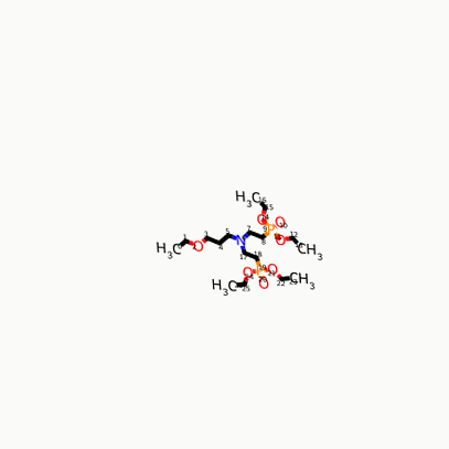 CCOCCCN(CCP(=O)(OCC)OCC)CCP(=O)(OCC)OCC